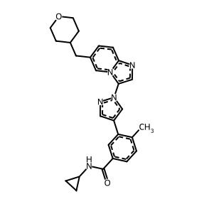 Cc1ccc(C(=O)NC2CC2)cc1-c1cnn(-c2cnc3ccc(CC4CCOCC4)cn23)c1